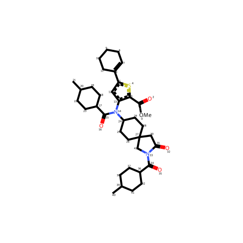 COC(=O)c1sc(C2=CCCCC2)cc1N(C(=O)C1CCC(C)CC1)C1CCC2(CC1)CC(=O)N(C(=O)C1CCC(C)CC1)C2